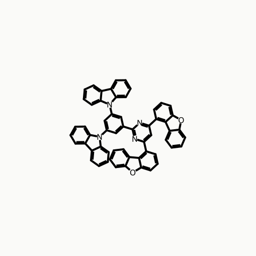 c1ccc2c(c1)oc1cccc(-c3cc(-c4cccc5oc6ccccc6c45)nc(-c4cc(-n5c6ccccc6c6ccccc65)cc(-n5c6ccccc6c6ccccc65)c4)n3)c12